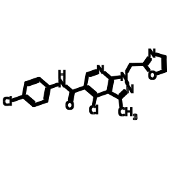 Cc1nn(Cc2ncco2)c2ncc(C(=O)Nc3ccc(Cl)cc3)c(Cl)c12